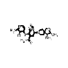 C[C@@H]1OCC2(CCN(c3cc(C(N)=O)c(Sc4ccnc(N)c4Cl)c4nncn34)CC2)[C@@H]1N